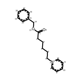 O=C(CCCCC[n+]1ccccc1)OCc1ccccc1